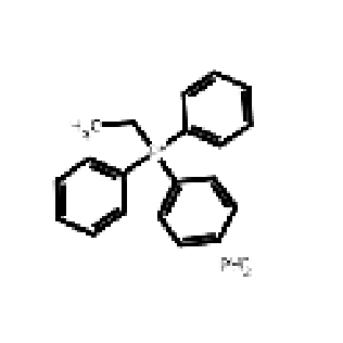 CC[P+](c1ccccc1)(c1ccccc1)c1ccccc1.[PH2-]